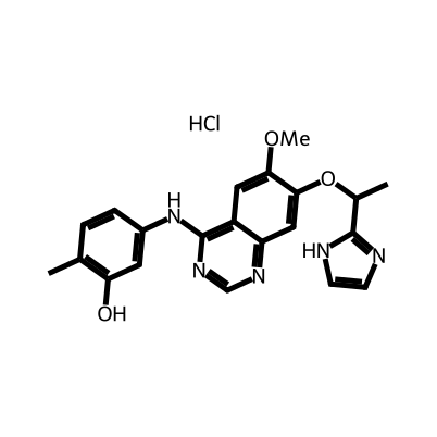 COc1cc2c(Nc3ccc(C)c(O)c3)ncnc2cc1OC(C)c1ncc[nH]1.Cl